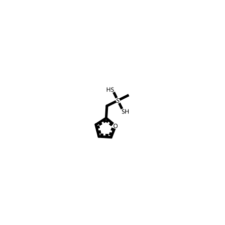 CS(S)(S)Cc1ccco1